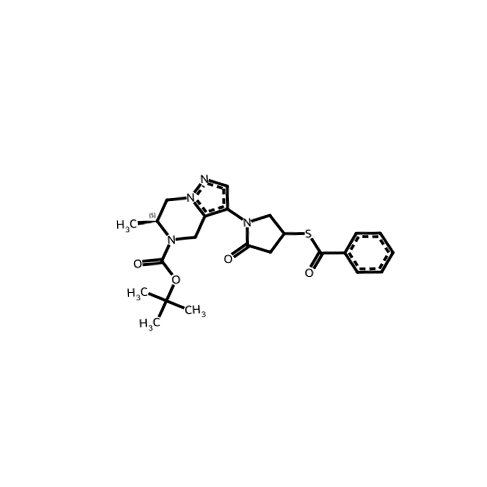 C[C@H]1Cn2ncc(N3CC(SC(=O)c4ccccc4)CC3=O)c2CN1C(=O)OC(C)(C)C